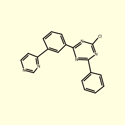 Clc1nc(-c2ccccc2)nc(-c2cccc(-c3ccncn3)c2)n1